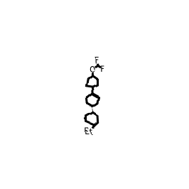 CCC1CCC([C@H]2CC=C(C3CCC(OC(F)F)CC3)CC2)CC1